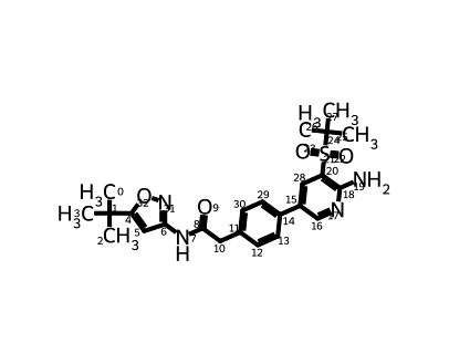 CC(C)(C)c1cc(NC(=O)Cc2ccc(-c3cnc(N)c(S(=O)(=O)C(C)(C)C)c3)cc2)no1